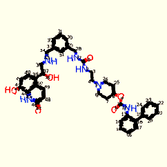 O=C(NCCN1CCC(OC(=O)Nc2ccccc2-c2ccccc2)CC1)NCc1cccc(CNCC(O)c2ccc(O)c3[nH]c(=O)ccc23)c1